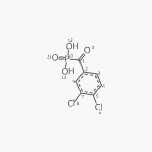 O=C(c1ccc(Cl)c(Cl)c1)P(=O)(O)O